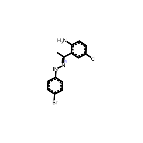 C/C(=N\Nc1ccc(Br)cc1)c1cc(Cl)ccc1N